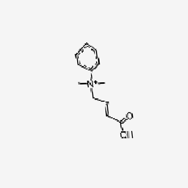 C[N+](C)(CC=CC(=O)O)c1ccccc1